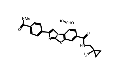 CNC(=O)c1ccc(-c2cn3c(n2)sc2cc(C(=O)NCC4(N)CC4)ccc23)cc1.O=CO